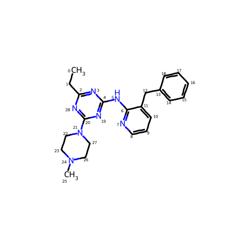 CCc1nc(Nc2ncccc2Cc2ccccc2)nc(N2CCN(C)CC2)n1